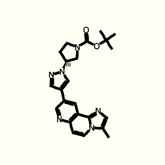 Cc1cnc2c3cc(-c4cnn([C@H]5CCN(C(=O)OC(C)(C)C)C5)c4)cnc3ccn12